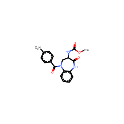 CC(C)(C)OC(=O)NC1CN(C(=O)c2ccc([N+](=O)[O-])cc2)c2ccccc2NC1=O